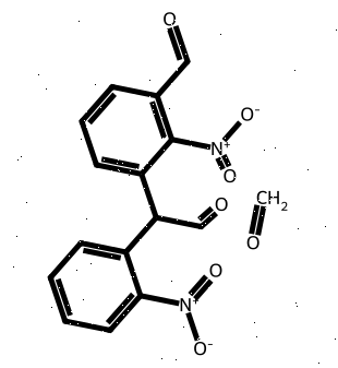 C=O.O=Cc1cccc(C(C=O)c2ccccc2[N+](=O)[O-])c1[N+](=O)[O-]